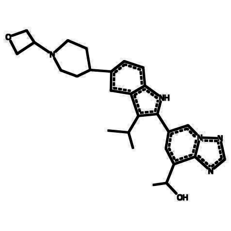 CC(C)c1c(-c2cc(C(C)O)c3ncnn3c2)[nH]c2ccc(C3CCN(C4COC4)CC3)cc12